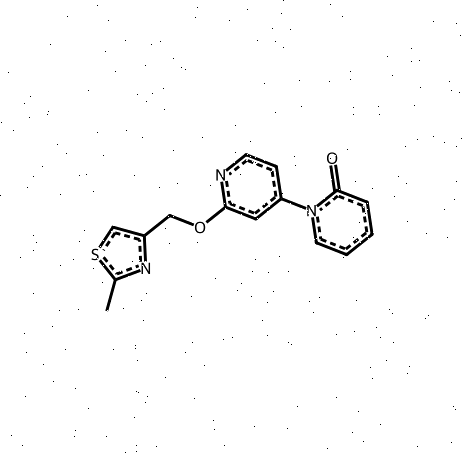 Cc1nc(COc2cc(-n3ccccc3=O)ccn2)cs1